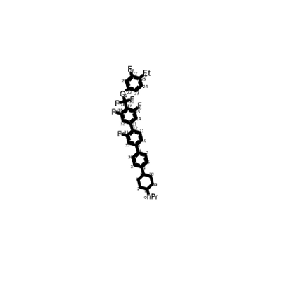 CCCC1CCC(c2ccc(-c3ccc(-c4cc(F)c(C(F)(F)Oc5ccc(CC)c(F)c5)c(F)c4)c(F)c3)cc2)CC1